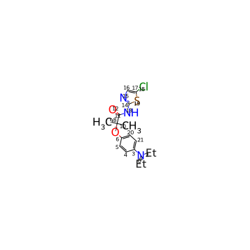 CCN(CC)c1ccc(OC(C)(C)C(=O)Nc2ncc(Cl)s2)cc1